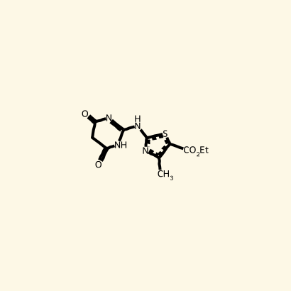 CCOC(=O)c1sc(NC2=NC(=O)CC(=O)N2)nc1C